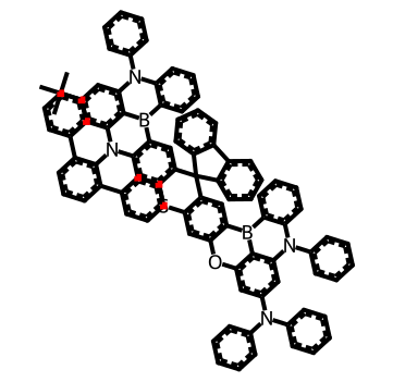 CC(C)(C)c1cc2c3c(c1)N(c1c(-c4ccccc4)cccc1-c1ccccc1)c1cc4c(cc1B3c1ccccc1N2c1ccccc1)C1(c2cc3c(cc2S4)Oc2cc(N(c4ccccc4)c4ccccc4)cc4c2B3c2ccccc2N4c2ccccc2)c2ccccc2-c2ccccc21